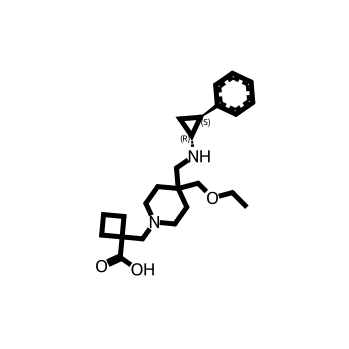 CCOCC1(CN[C@@H]2C[C@H]2c2ccccc2)CCN(CC2(C(=O)O)CCC2)CC1